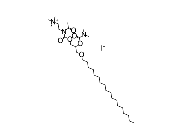 CCCCCCCCCCCCCCCCCCOCC(COC(=O)N(CC[N+](C)(C)C)C(C)=O)OC(=O)N(C)C.[I-]